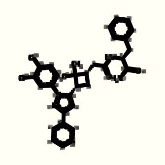 CC1(C)[C@H](CC(=O)N[C@@H](Cc2ccccc2)C(N)=O)C[C@@H]1c1cc(-c2cccnc2)nn1-c1ccc(Cl)c(Cl)c1